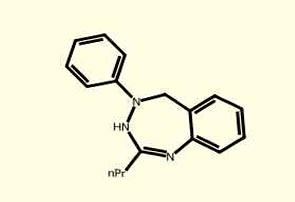 CCCC1=Nc2ccccc2CN(c2ccccc2)N1